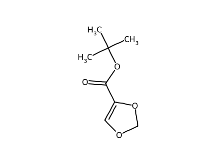 CC(C)(C)OC(=O)C1=COCO1